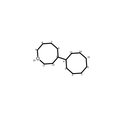 C1CCCC(C2CCCCOCC2)CCC1